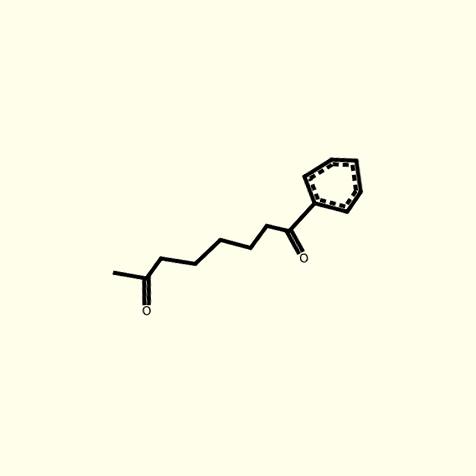 CC(=O)CCCCCC(=O)c1ccccc1